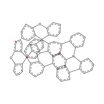 c1ccc(-c2ccccc2N(c2ccc(-c3cccc4c3-c3ccccc3C43c4ccccc4Oc4ccccc43)cc2)c2ccccc2-c2ccc3c(c2)C2(c4ccccc4Oc4ccccc42)c2ccccc2-3)cc1